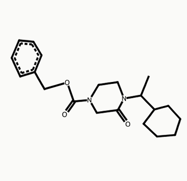 CC(C1CCCCC1)N1CCN(C(=O)OCc2ccccc2)CC1=O